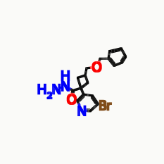 NNC(=O)C1(c2cncc(Br)c2)CC(COCc2ccccc2)C1